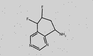 NC1CC(F)C(F)c2cncnc21